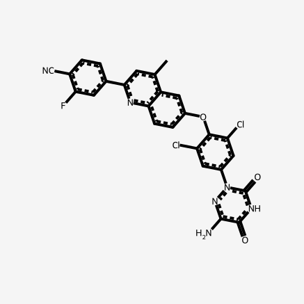 Cc1cc(-c2ccc(C#N)c(F)c2)nc2ccc(Oc3c(Cl)cc(-n4nc(N)c(=O)[nH]c4=O)cc3Cl)cc12